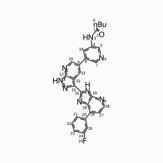 CCCCC(=O)Nc1cncc(-c2cnc3[nH]nc(-c4nc5c(-c6cccc(F)c6)ccnc5[nH]4)c3c2)c1